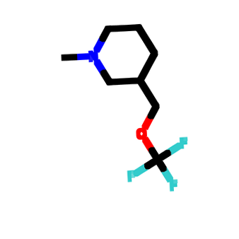 CN1CCCC(COC(F)(F)F)C1